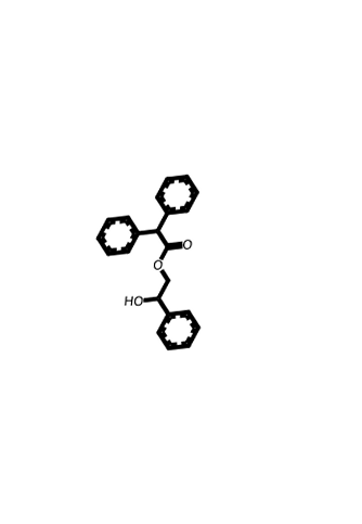 O=C(OCC(O)c1ccccc1)C(c1ccccc1)c1ccccc1